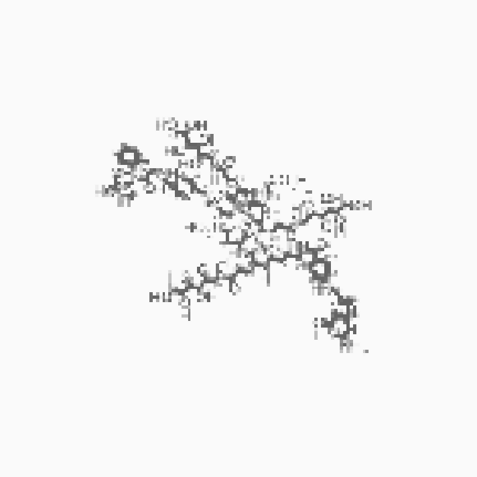 CC(C)C[C@H](NC(=O)[C@H](Cc1ccccc1)NC(=O)c1cnc(CSSC[C@@H](C)NC(=O)[C@H](CCC(=O)NC[C@H](O)[C@@H](O)[C@H](O)[C@H](O)CO)NC(=O)[C@H](CCC(=O)O)NC(=O)[C@H](CCC(=O)NC[C@H](O)[C@@H](O)[C@H](O)[C@H](O)CO)NC(=O)[C@H](CCC(=O)O)NC(=O)[C@H](CCC(=O)NC[C@H](O)[C@@H](O)[C@H](O)[C@H](O)CO)NC(=O)CC[C@@H](C)NC(=O)c2ccc(NCc3cnc4nc(N)[nH]c(=O)c4n3)cc2)cn1)B(O)O